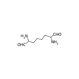 NC(C=O)CCCCC(N)C=O